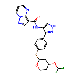 O=C(Nc1c[nH]nc1-c1ccc(SC2CC(OC(F)F)CCO2)cc1)c1cnn2cccnc12